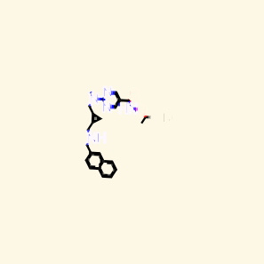 CC(C)COC(C)ONC(=O)c1cnc(N(C)CC2CC2CNCc2ccc3ccccc3c2)nc1